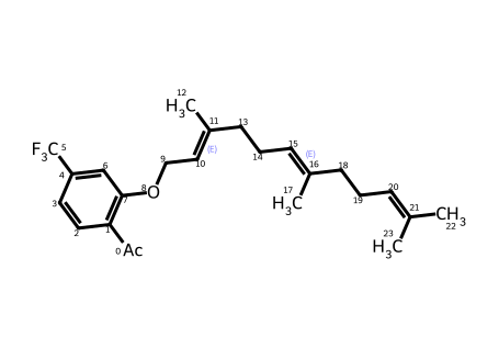 CC(=O)c1ccc(C(F)(F)F)cc1OC/C=C(\C)CC/C=C(\C)CCC=C(C)C